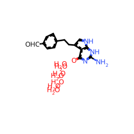 Nc1nc(=O)c2c(CCc3ccc(C=O)cc3)c[nH]c2[nH]1.O.O.O.O.O.O.O